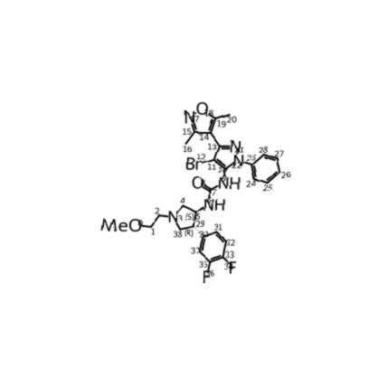 COCCN1C[C@@H](NC(=O)Nc2c(Br)c(-c3c(C)noc3C)nn2-c2ccccc2)[C@H](c2ccc(F)c(F)c2)C1